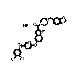 Br.CN(c1ccc(Oc2ccc3c(c2)cc(C(=O)N2CCN(Cc4ccc5c(c4)OCO5)CC2)n3C)nc1)c1ccc(Cl)c(Cl)c1